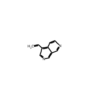 C=Cc1cncc2cnccc12